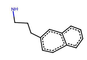 [NH]CCCc1ccc2ccccc2c1